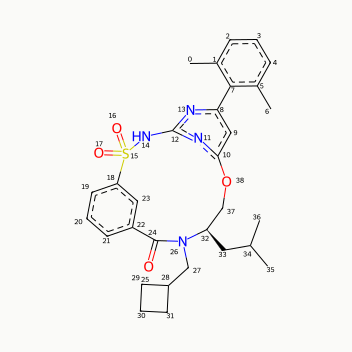 Cc1cccc(C)c1-c1cc2nc(n1)NS(=O)(=O)c1cccc(c1)C(=O)N(CC1CCC1)[C@H](CC(C)C)CO2